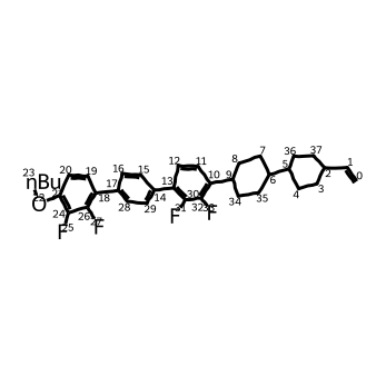 C=CC1CCC(C2CCC(c3ccc(-c4ccc(-c5ccc(OCCCC)c(F)c5F)cc4)c(F)c3F)CC2)CC1